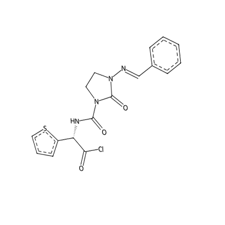 O=C(Cl)[C@@H](NC(=O)N1CCN(N=Cc2ccccc2)C1=O)c1cccs1